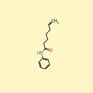 C=CCCCCC(=O)Nc1ccccc1